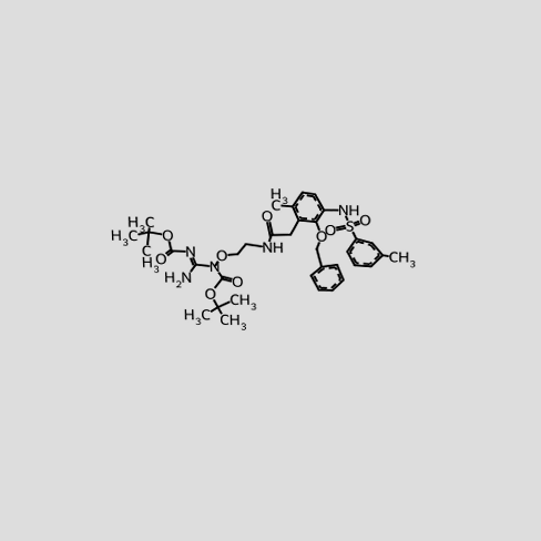 Cc1cccc(S(=O)(=O)Nc2ccc(C)c(CC(=O)NCCON(C(=O)OC(C)(C)C)C(N)=NC(=O)OC(C)(C)C)c2OCc2ccccc2)c1